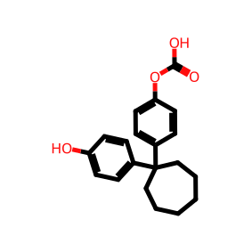 O=C(O)Oc1ccc(C2(c3ccc(O)cc3)CCCCCC2)cc1